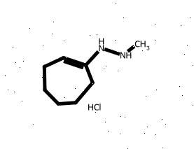 CNNC1=CCCCCC1.Cl